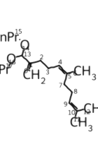 C=C(CCC=C(C)CCC=C(C)C)C(OCCC)OCCC